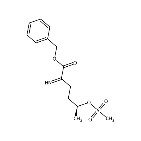 C[C@@H](CCC(=N)C(=O)OCc1ccccc1)OS(C)(=O)=O